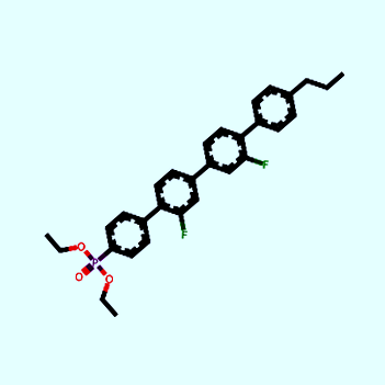 CCCc1ccc(-c2ccc(-c3ccc(-c4ccc(P(=O)(OCC)OCC)cc4)c(F)c3)cc2F)cc1